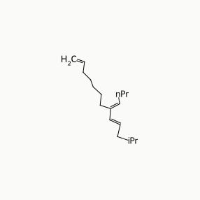 C=CCCCCCC(C=CCC(C)C)=CCCC